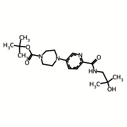 CC(C)(O)CNC(=O)c1ccc(N2CCN(C(=O)OC(C)(C)C)CC2)cn1